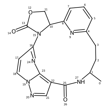 CC1CCc2cccc(n2)C2COC(=O)N2c2ccn3ncc(c3n2)C(=O)N1